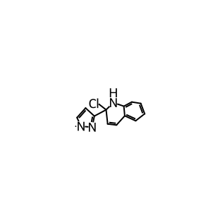 ClC1(C2=N[N]C=C2)C=Cc2ccccc2N1